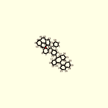 c1ccc([Si](c2ccccc2)(c2ccc(-c3c4ccccc4c(-c4cccc5ccccc45)c4ccccc34)cc2)c2ccc3ccc4cccc5ccc2c3c45)cc1